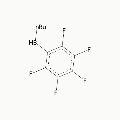 CCCCBc1c(F)c(F)c(F)c(F)c1F